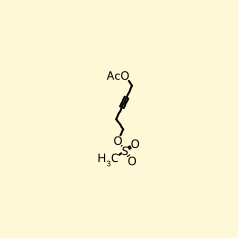 CC(=O)OCC#CCCOS(C)(=O)=O